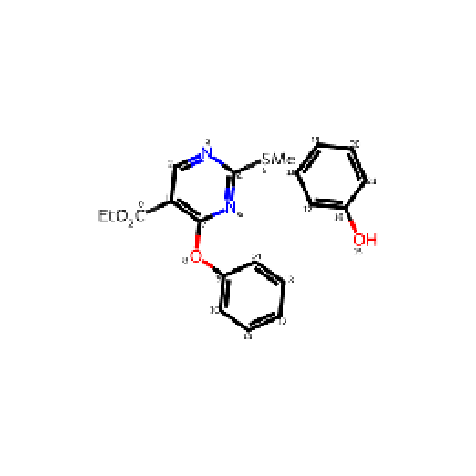 CCOC(=O)c1cnc(SC)nc1Oc1ccccc1.Oc1ccccc1